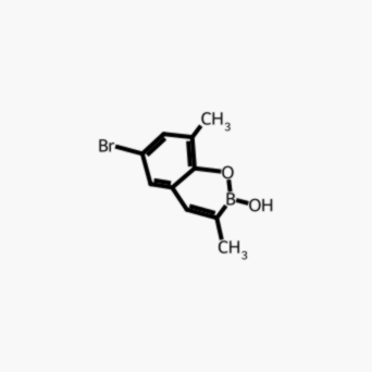 CC1=Cc2cc(Br)cc(C)c2OB1O